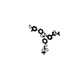 COc1ccc([C@H]2CC[C@H](CN(c3cccc(-c4cnn(C(C)C)c4)c3)C(=O)[C@H]3CC[C@H](OCC(=O)OC(C)(C)C)CC3)CC2)cc1C